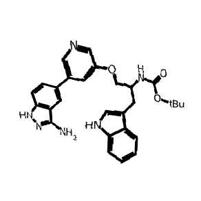 CC(C)(C)OC(=O)NC(COc1cncc(-c2ccc3[nH]nc(N)c3c2)c1)Cc1c[nH]c2ccccc12